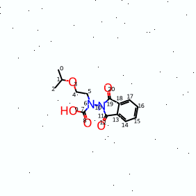 CC(C)OCCN(C(=O)O)N1C(=O)c2ccccc2C1=O